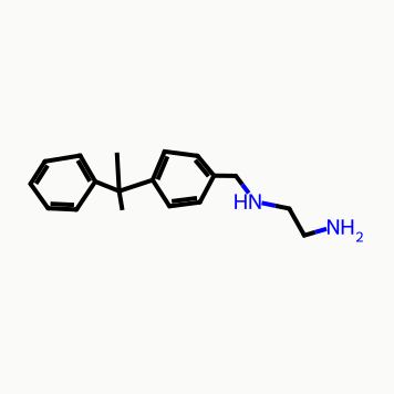 CC(C)(c1ccccc1)c1ccc(CNCCN)cc1